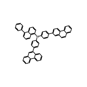 c1ccc(-c2cccc3c(N(c4ccc(-c5ccc6c(ccc7ccccc76)c5)cc4)c4ccc(-c5cc6ccccc6c6ccccc56)cc4)cccc23)cc1